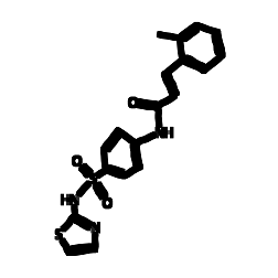 Cc1ccccc1/C=C/C(=O)Nc1ccc(S(=O)(=O)Nc2nccs2)cc1